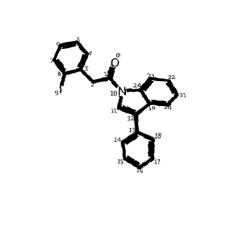 O=C(Cc1ccccc1I)n1cc(-c2ccccc2)c2ccccc21